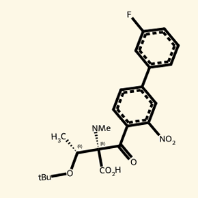 CN[C@@](C(=O)O)(C(=O)c1ccc(-c2cccc(F)c2)cc1[N+](=O)[O-])[C@@H](C)OC(C)(C)C